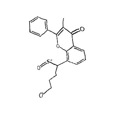 Cc1c(-c2ccccc2)oc2c(C(CCCCl)[S+]=O)cccc2c1=O